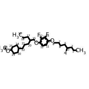 CCCC(I)CCCCOc1ccc(OCC(CCC)CCCC2CCC(OC)CC2)c(F)c1F